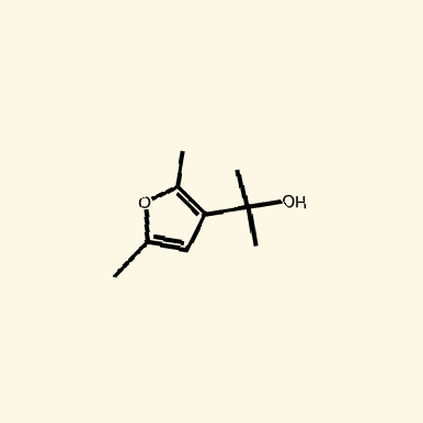 Cc1cc(C(C)(C)O)c(C)o1